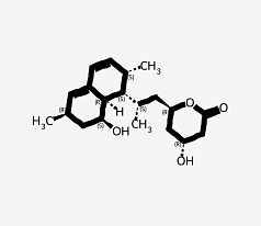 C[C@H]1C=C2C=C[C@H](C)[C@H]([C@@H](C)C[C@@H]3C[C@@H](O)CC(=O)O3)[C@H]2[C@@H](O)C1